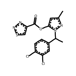 Cc1cc(OC(=O)c2csnn2)n(C(C)c2ccc(Cl)c(Cl)c2)n1